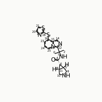 CC(C)(NC(=O)[C@@H]1[C@@H]2CNC[C@@H]21)c1ncc2c(Sc3nccs3)cccn12